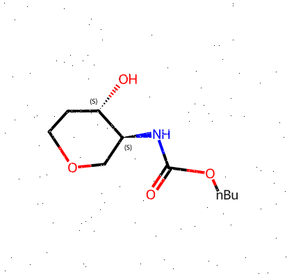 CCCCOC(=O)N[C@H]1COCC[C@@H]1O